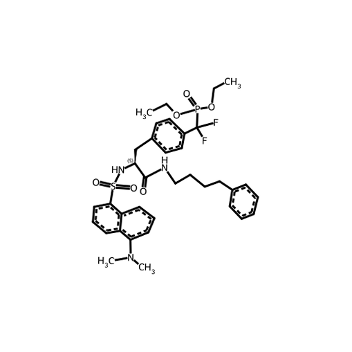 CCOP(=O)(OCC)C(F)(F)c1ccc(C[C@H](NS(=O)(=O)c2cccc3c(N(C)C)cccc23)C(=O)NCCCCc2ccccc2)cc1